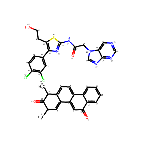 CC1C=c2c(ccc3c2=CC(=O)c2ccccc2-3)C(C)C1=O.O=C(Cn1cnc2ncncc21)Nc1nc(-c2ccc(Cl)c(Cl)c2)c(CCO)s1